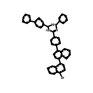 Brc1ccc(-c2ccc(-c3ccc(C4=NC(c5ccccc5)NC(c5ccc(-c6ccccc6)cc5)N4)cc3)c3ccccc23)c2ccccc12